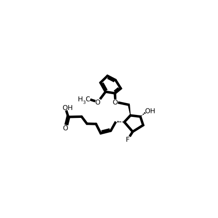 COc1ccccc1OC[C@H]1[C@H](O)CC(F)[C@@H]1C/C=C\CCCC(=O)O